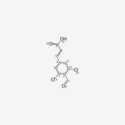 O=Cc1c(Cl)cc(/C=C/C(=O)O)cc1Cl